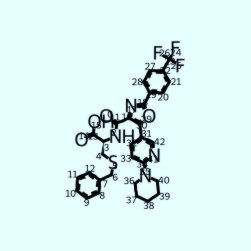 O=C(N[C@@H](CSCc1ccccc1)C(=O)O)c1nc(-c2ccc(C(F)(F)F)cc2)oc1-c1ccc(N2CCCCC2)nc1